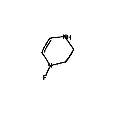 FN1C=CNCC1